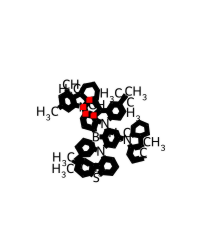 Cc1cc(C)c2c(c1)N(c1ccc3c(c1)N(c1ccc(C(C)(C)C)cc1-c1ccccc1)c1cc(N4c5ccccc5C5(C)CCCCC45C)cc4c1B3c1ccc(C(C)(C)C)cc1N4c1cccc3sc4ccccc4c13)C1(C)CCCCC21C